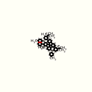 Cc1ccc(N(C2=CC=C(C(C)(C)C)CC2)c2cc3c(c(C)c2-c2ccccc2C)-c2ccc(N(c4ccc(C)cc4)c4ccc(C(C)(C)C)cc4)cc2C32c3ccccc3-c3ccccc32)cc1